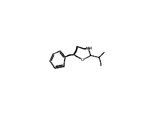 CC(C)C1NCC(c2ccccc2)O1